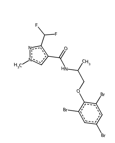 CC(COc1c(Br)cc(Br)cc1Br)NC(=O)c1cn(C)nc1C(F)F